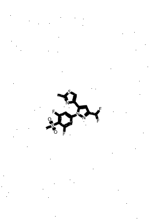 Cc1nc(-c2cc(C(F)F)nn2-c2cc(F)c(S(C)(=O)=O)c(F)c2)cs1